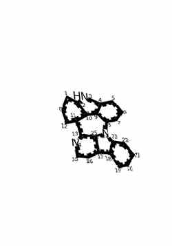 c1cc2[nH]c3cccc4c3c2c(c1)c1nccc2c3ccccc3n4c21